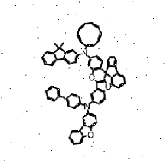 CC1(C)c2ccccc2-c2ccc(N(c3ccccccccc3)c3ccc4c(c3)Oc3c(oc5ccc(N(c6ccc(-c7ccccc7)cc6)c6ccc7oc8ccccc8c7c6)cc35)C43c4ccccc4-c4ccccc43)cc21